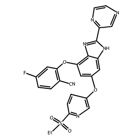 CCS(=O)(=O)c1ccc(Oc2cc(Oc3cc(F)ccc3C#N)c3nc(-c4cnccn4)[nH]c3c2)cn1